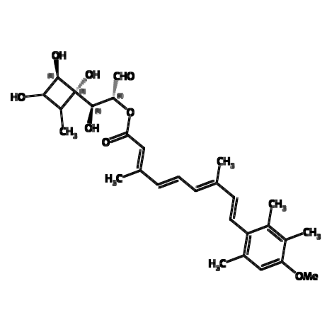 COc1cc(C)c(C=CC(C)=CC=CC(C)=CC(=O)O[C@@H](C=O)[C@@H](O)[C@@]2(O)C(C)C(O)[C@H]2O)c(C)c1C